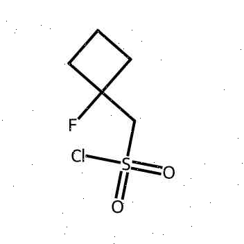 O=S(=O)(Cl)CC1(F)CCC1